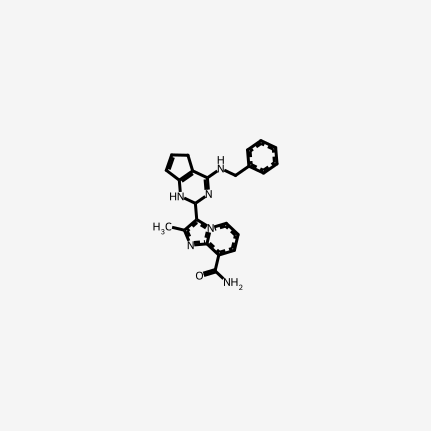 Cc1nc2c(C(N)=O)cccn2c1C1N=C(NCc2ccccc2)C2=C(C=CC2)N1